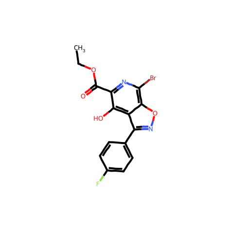 CCOC(=O)c1nc(Br)c2onc(-c3ccc(F)cc3)c2c1O